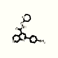 Bc1ccc(-c2cc(C(=O)NOC3CCCCO3)c3ccncc3n2)cc1